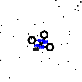 CCCCN[Si](NC1CCCCC1)(NC1CCCCC1)NC1CCCCC1